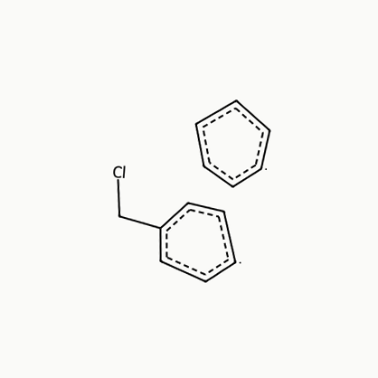 ClCc1cc[c]cc1.[c]1ccccc1